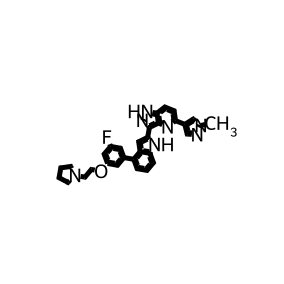 Cn1cc(-c2ccc3[nH]nc(-c4cc5c(-c6cc(F)cc(OCCN7CCCC7)c6)cccc5[nH]4)c3n2)cn1